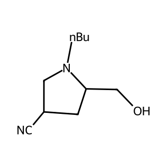 CCCCN1CC(C#N)CC1CO